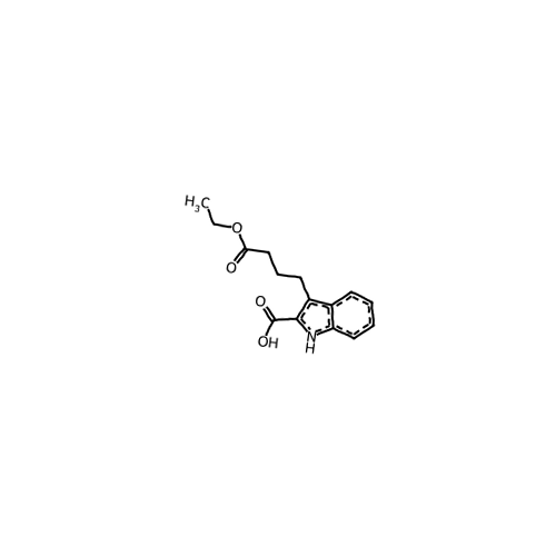 CCOC(=O)CCCc1c(C(=O)O)[nH]c2ccccc12